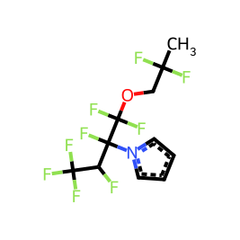 CC(F)(F)COC(F)(F)C(F)(C(F)C(F)(F)F)n1cccc1